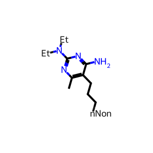 CCCCCCCCCCCCc1c(C)nc(N(CC)CC)nc1N